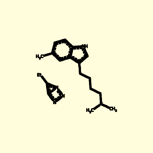 CCc1c2nnn1-2.Cc1ccc2[nH]cc(CCCCN(C)C)c2c1